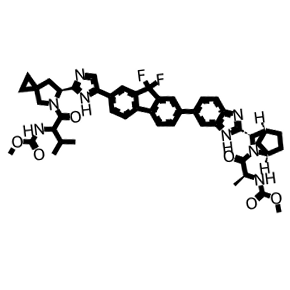 COC(=O)NC(C(=O)N1CC2(CC2)C[C@H]1c1ncc(-c2ccc3c(c2)C(F)(F)c2cc(-c4ccc5nc([C@@H]6[C@H]7CC[C@H](C7)N6C(=O)[C@H](C)NC(=O)OC)[nH]c5c4)ccc2-3)[nH]1)C(C)C